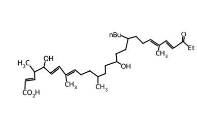 CCCCC(CC/C=C(C)/C=C/C(=O)CC)CCC(O)CCC(C)CC/C=C(C)/C=C/C(O)C(C)/C=C/C(=O)O